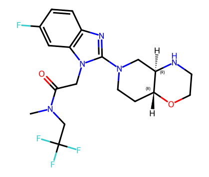 CN(CC(F)(F)F)C(=O)Cn1c(N2CC[C@H]3OCCN[C@@H]3C2)nc2ccc(F)cc21